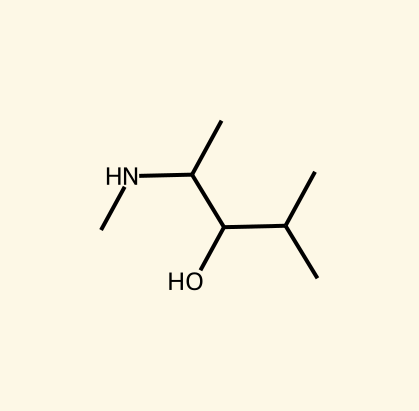 CNC(C)C(O)C(C)C